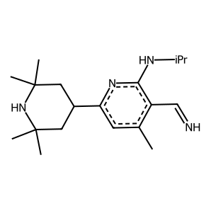 Cc1cc(C2CC(C)(C)NC(C)(C)C2)nc(NC(C)C)c1C=N